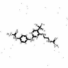 CC(=O)NCCNc1nc(Nc2ccc(NC(C)=O)cc2)ncc1C(F)(F)F